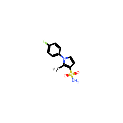 Cc1c(S(N)(=O)=O)ccn1-c1ccc(F)cc1